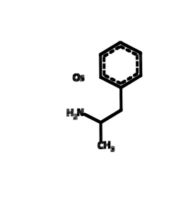 CC(N)Cc1ccccc1.[Os]